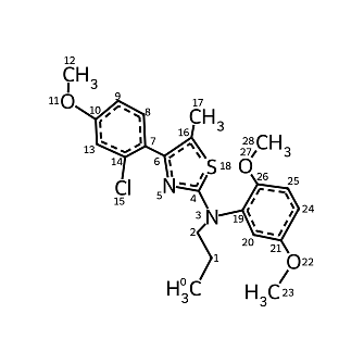 CCCN(c1nc(-c2ccc(OC)cc2Cl)c(C)s1)c1cc(OC)ccc1OC